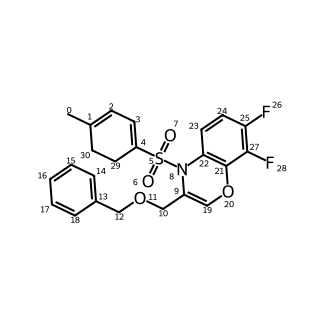 CC1=CC=C(S(=O)(=O)N2C(COCc3ccccc3)=COc3c2ccc(F)c3F)CC1